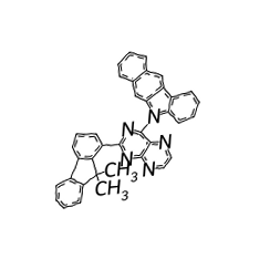 CC1(C)c2ccccc2-c2cccc(-c3nc(-n4c5ccccc5c5cc6ccccc6cc54)c4nccnc4n3)c21